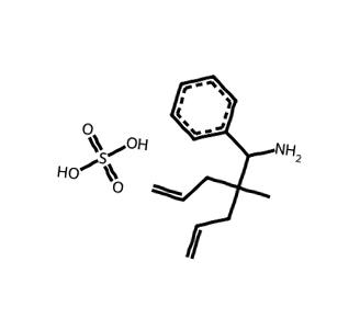 C=CCC(C)(CC=C)C(N)c1ccccc1.O=S(=O)(O)O